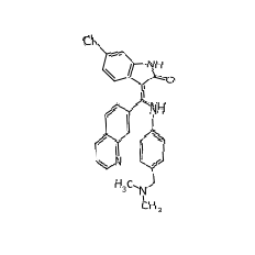 CN(C)Cc1ccc(N/C(=C2\C(=O)Nc3cc(Cl)ccc32)c2ccc3cccnc3c2)cc1